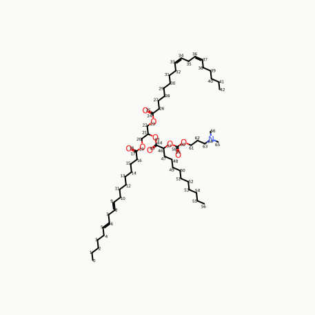 CCCCCC=CCC=CCCCCCCCC(=O)OCC(COC(=O)CCCCCCC/C=C\C/C=C\CCCCC)OC(=O)C(CCCCCCCCCC)OC(=O)OCCCN(C)C